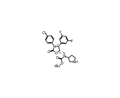 CC(C)(C)OC(=O)N(C[C@@H]1OC(=O)N(c2ccc(Cl)cc2)[C@H]1c1cc(F)cc(F)c1)C1CCNC1